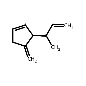 C=CC(C)[C@@H]1[C]=CCC1=C